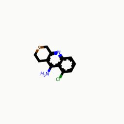 Nc1c2c(nc3cccc(Cl)c13)CSCC2